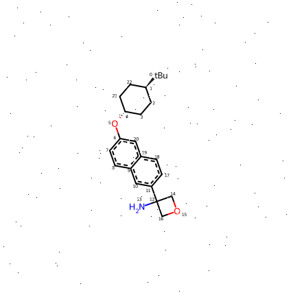 CC(C)(C)[C@H]1CC[C@H](Oc2ccc3cc(C4(N)COC4)ccc3c2)CC1